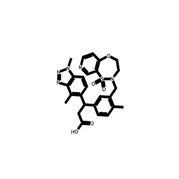 Cc1ccc(C(CC(=O)O)c2ccc3c(nnn3C)c2C)cc1CN1CCOc2ccncc2S1(=O)=O